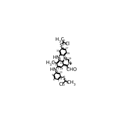 Cc1c(Nc2cccc(SC(C)Cl)c2)cc2c(C=O)ncnc2c1Nc1cccc(SC(C)Cl)c1